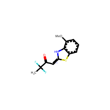 COc1cccc2c1N/C(=C\C(=O)C(C)(F)F)S2